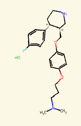 CN(C)CCCOc1ccc(OC[C@@H]2CNCC[C@H]2c2ccc(F)cc2)cc1.Cl